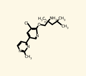 Cc1nccc(-c2cnc(OC[C@@](C)(N)CC(C)C)c(Cl)c2)n1